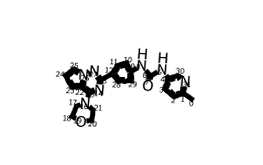 Cc1ccc(NC(=O)Nc2ccc(-c3nc(N4CCOCC4)c4cccn4n3)cc2)cn1